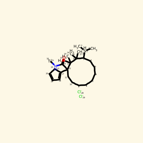 C[SiH](C)C1CCCCCCCCC(C(=O)[NH][Ti+2])(C2=CC=CC2)C(C)(C)C1(C)C.[Cl-].[Cl-]